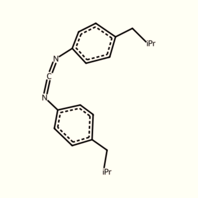 CC(C)Cc1ccc(N=C=Nc2ccc(CC(C)C)cc2)cc1